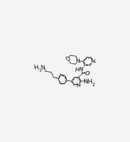 NCCCc1ccc(-c2cnc(N)c(C(=O)Nc3cnccc3N3CCOCC3)c2)cc1